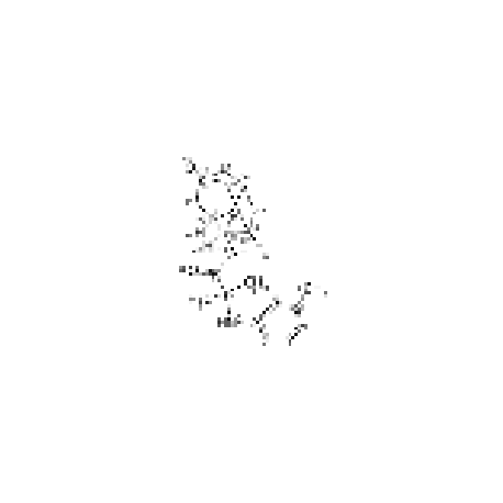 Cc1cccc(NC(C)(C)C(=O)N[C@H]2[C@@H]3CC4C[C@H]2C[C@](O)(C4)C3)c1